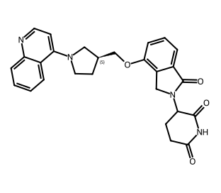 O=C1CCC(N2Cc3c(OC[C@H]4CCN(c5ccnc6ccccc56)C4)cccc3C2=O)C(=O)N1